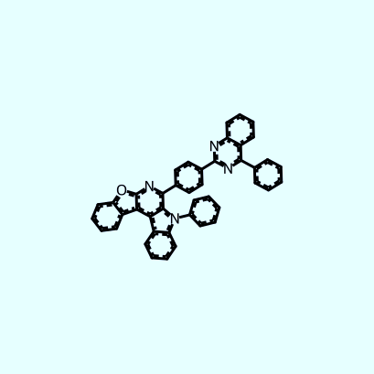 c1ccc(-c2nc(-c3ccc(-c4nc5oc6ccccc6c5c5c6ccccc6n(-c6ccccc6)c45)cc3)nc3ccccc23)cc1